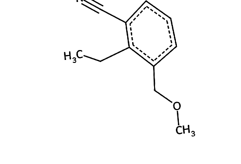 CCc1c(C#N)cccc1COC